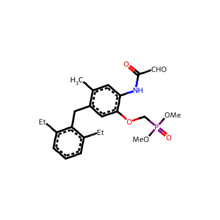 CCc1cccc(CC)c1Cc1cc(OCP(=O)(OC)OC)c(NC(=O)C=O)cc1C